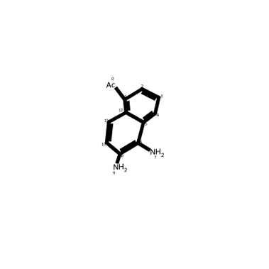 CC(=O)c1cccc2c(N)c(N)ccc12